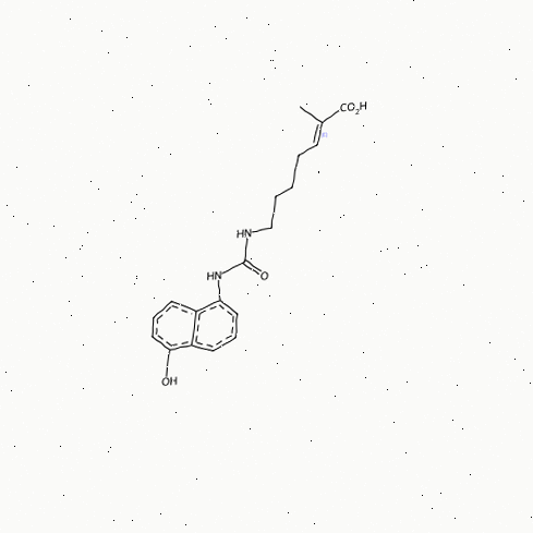 C/C(=C\CCCCNC(=O)Nc1cccc2c(O)cccc12)C(=O)O